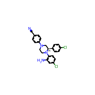 N#Cc1ccc(N2CCN(c3ccc(Cl)cc3N)[C@H](c3ccc(Cl)cc3)C2)cc1